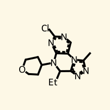 CCC1c2nnc(C)n2-c2cnc(Cl)nc2N1C1CCOCC1